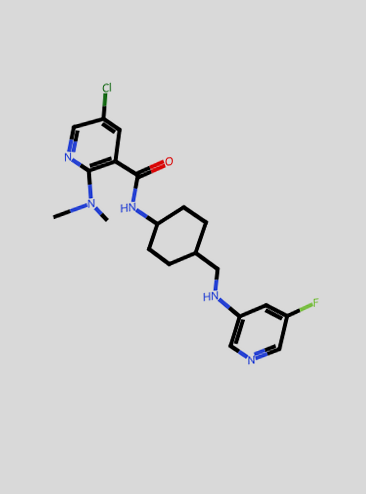 CN(C)c1ncc(Cl)cc1C(=O)NC1CCC(CNc2cncc(F)c2)CC1